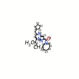 CCC(C)c1cc(CC2CCCC2)nc2cc(C(=O)N3CCCCCCC3)nn12